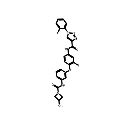 O=C(Nc1ccc(Oc2ccnc(NC(=O)N3CC(O)C3)c2)c(F)c1)c1cn(-c2ccccc2F)nn1